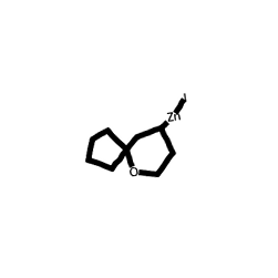 [I][Zn][CH]1CCOC2(CCCC2)C1